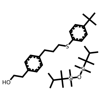 CC(C)(C)c1ccc(SCCCc2ccc(CCO)cc2)cc1.CC(C)C(C)(C)[Si](C)(C)O[Si](C)(C)C(C)(C)C(C)C